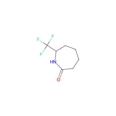 O=C1CCCCC(C(F)(F)F)N1